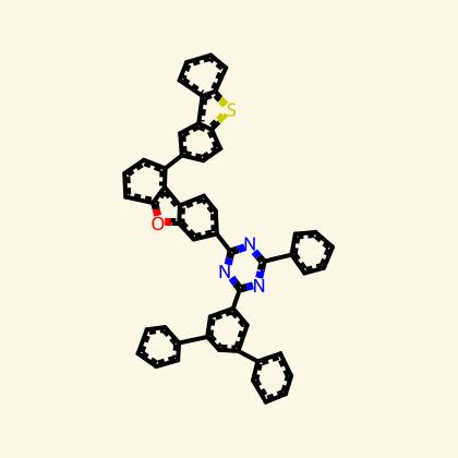 c1ccc(-c2cc(-c3ccccc3)cc(-c3nc(-c4ccccc4)nc(-c4ccc5c(c4)oc4cccc(-c6ccc7sc8ccccc8c7c6)c45)n3)c2)cc1